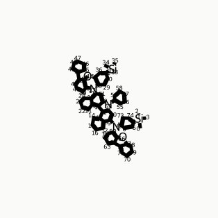 C[Si](C)(C)c1ccc(N(c2cc3c(c4ccccc24)c2c4ccccc4c(N(c4ccc([Si](C)(C)C)cc4)c4cccc5c4oc4ccccc45)cc2n3-c2ccccc2)c2cccc3c2oc2ccccc23)cc1